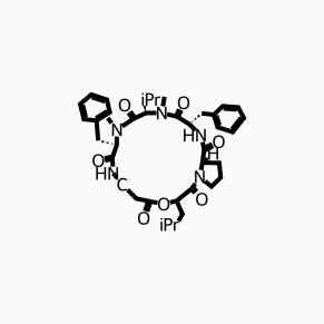 CC(C)CC1OC(=O)CCNC(=O)[C@H](Cc2ccccc2)N(C)C(=O)[C@H](C(C)C)N(C)C(=O)[C@H](Cc2ccccc2)NC(=O)[C@@H]2CCCN2C1=O